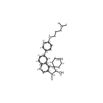 CN(C)CCCOc1ccc(-c2ccc3ncc4c(c3c2)C2(CCNCC2)C(O)N4C)cn1